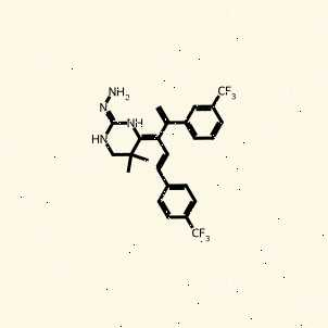 C=C(C(C=Cc1ccc(C(F)(F)F)cc1)=C1NC(=NN)NCC1(C)C)c1cccc(C(F)(F)F)c1